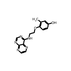 Cc1cc(O)ccc1OCCNc1ncnc2nccnc12